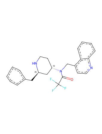 O=C(N(Cc1ccnc2ccccc12)[C@H]1CCN[C@H](Cc2ccccc2)C1)C(F)(F)F